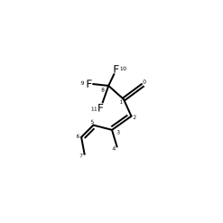 C=C(/C=C(C)\C=C/C)C(F)(F)F